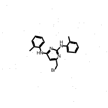 Cc1ccccc1Nc1cc(CBr)nc(Nc2ccccc2C)n1